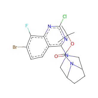 CC(C)(C)OC(=O)N1C2CCC1CN(c1nc(Cl)nc3c(F)c(Br)ccc13)C2